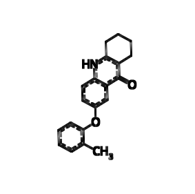 Cc1ccccc1Oc1ccc2[nH]c3c(c(=O)c2c1)CCCC3